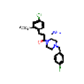 CC(=O)Nc1cc(Cl)ccc1C=CC(=O)N1CCN(Cc2ccc(F)cc2)C[C@H]1CN